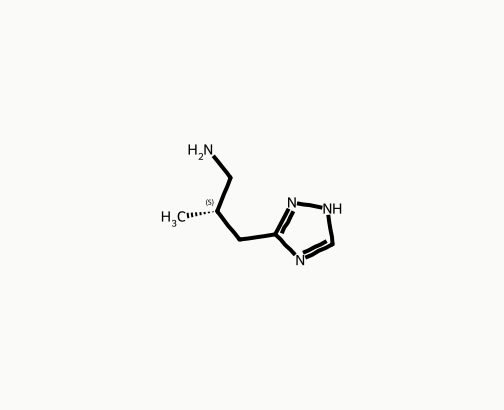 C[C@H](CN)Cc1nc[nH]n1